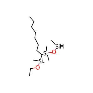 CCCCCCCC([Si](C)(C)OCC)[Si](C)(C)O[SiH](C)C